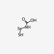 O=C(O)N[Se]S